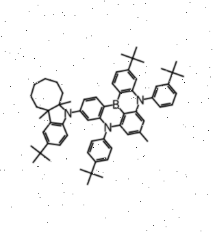 Cc1cc2c3c(c1)N(c1cccc(C(C)(C)C)c1)c1cc(C(C)(C)C)ccc1B3c1ccc(N3c4ccc(C(C)(C)C)cc4C4(C)CCCCCCC34C)cc1N2c1ccc(C(C)(C)C)cc1